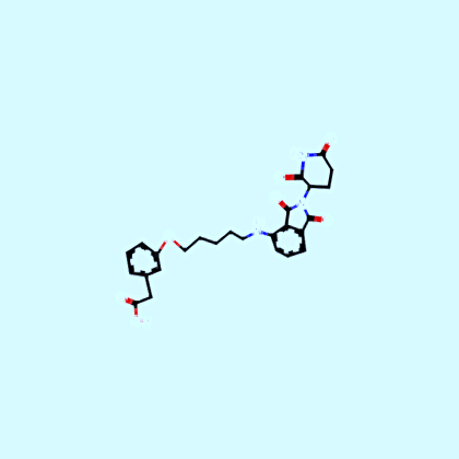 O=C(O)Cc1cccc(OCCCCCNc2cccc3c2C(=O)N(C2CCC(=O)NC2=O)C3=O)c1